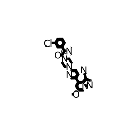 COc1cc(-c2ccc(N3CCN(C(=O)[C@@H](c4cccc(Cl)c4)N(C)C)CC3)nc2)c2c(C#N)cnn2c1